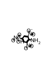 Nc1c([N+](=O)[O-])cc(P(=O)(O)N=O)cc1[N+](=O)[O-]